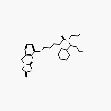 CCCC(C1CCCCC1)N(CCO)C(=O)CCCCOc1cccc2c1N=C1NC(=O)CN1C2